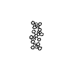 C1=CC(c2c3c4cccc5c6ccc(N(c7ccccc7)c7cccc8c7oc7ccccc78)cc6n(c3c(-c3ccccc3)c3c6c7n(c23)-c2cc(N(c3ccccc3)c3cccc8c3oc3ccccc38)ccc2C7CC=C6)c54)=CCC1